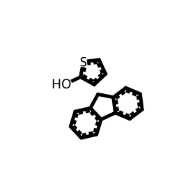 Oc1cccs1.c1ccc2c(c1)Cc1ccccc1-2